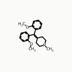 COc1ccccc1C(=C1CCN(C)CC1)c1ccccc1OC